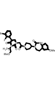 COC[C@@H](C)n1c(=O)c(-c2cccc(Br)c2F)cn(CC(=O)N2CCC(N3CCc4cc(OC)ccc4NC3=O)CC2)c1=O